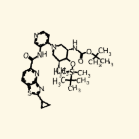 C[C@H]1CN(c2ccncc2NC(=O)c2ccc3sc(C4CC4)nc3n2)C[C@@H](NC(=O)OC(C)(C)C)C1O[Si](C)(C)C(C)(C)C